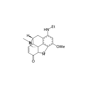 CCNc1cc(OC)c2c3c1C[C@@H]1[C@@H]4C=CC(=O)[C@H](O2)[C@]34CCN1C